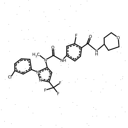 CN(C(=O)Nc1ccc(C(=O)NC2CCOCC2)c(F)c1)c1cc(C(F)(F)F)nn1-c1cccc(Cl)c1